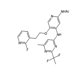 CC(=O)Nc1cc(Nc2cc(C)nc(C(C)(F)F)n2)c(OCCc2cccnc2F)cn1